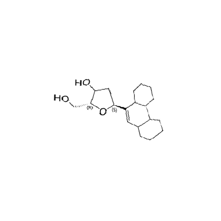 OC[C@H]1O[C@H](C2=CC3CCCCC3C3CCCCC23)CC1O